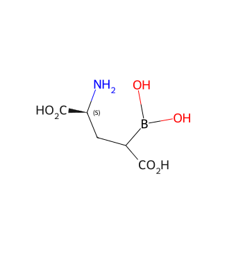 N[C@@H](CC(B(O)O)C(=O)O)C(=O)O